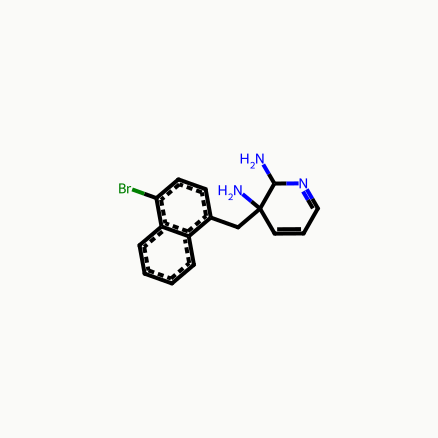 NC1N=CC=CC1(N)Cc1ccc(Br)c2ccccc12